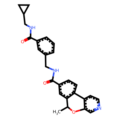 CC1Oc2cnccc2-c2ccc(C(=O)NCc3cccc(C(=O)NCC4CC4)c3)cc21